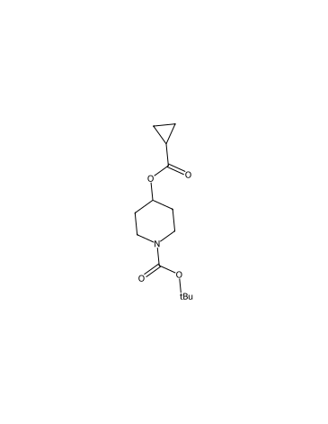 CC(C)(C)OC(=O)N1CCC(OC(=O)C2CC2)CC1